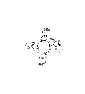 CC(C)(C)OC(=O)CN1CCN(CC(=O)OC(C)(C)C)CCN([C@@H]2[C@@H](O)CN[C@H]2C(=O)O)CCN(CC(=O)OC(C)(C)C)CC1